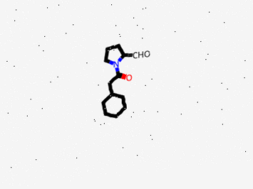 O=CC1CCCN1C(=O)CC1CCCCC1